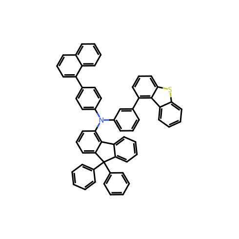 c1ccc(C2(c3ccccc3)c3ccccc3-c3c(N(c4ccc(-c5cccc6ccccc56)cc4)c4cccc(-c5cccc6sc7ccccc7c56)c4)cccc32)cc1